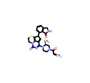 C=CC(=O)N1CCN(c2nc(=O)n3c4c2=CC(c2cccc5c2C(=O)NC5)C=4SCC3)[C@@H](C)C1